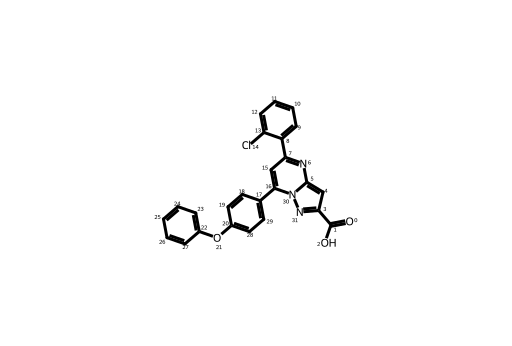 O=C(O)c1cc2nc(-c3ccccc3Cl)cc(-c3ccc(Oc4ccccc4)cc3)n2n1